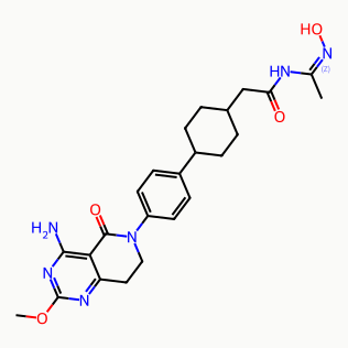 COc1nc(N)c2c(n1)CCN(c1ccc(C3CCC(CC(=O)N/C(C)=N\O)CC3)cc1)C2=O